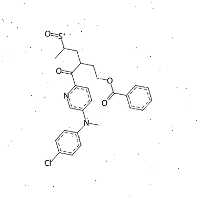 CC(CC(CCOC(=O)c1ccccc1)C(=O)c1ccc(N(C)c2ccc(Cl)cc2)cn1)[S+]=O